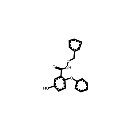 O=C(NOCc1ccccc1)c1cc(O)ccc1Oc1ccccc1